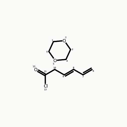 C1COCCO1.C=CC=CCC(=O)Cl